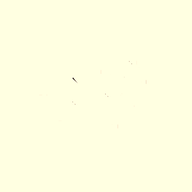 CC1CN(C(C)C)[C@@H](C)CN1C(=O)C(C)(C)N